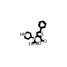 CCC(=O)N(c1cc(-c2ccccc2)sc1C(=O)OC)C1CCNCC1